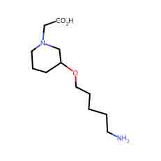 NCCCCCOC1CCCN(CC(=O)O)C1